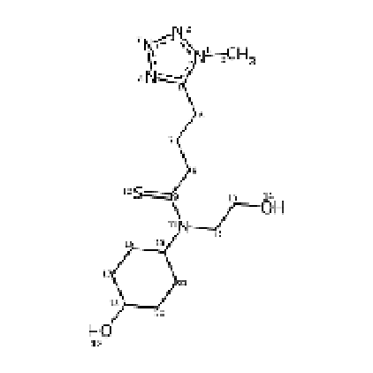 Cn1nnnc1CCCC(=S)N(CCO)C1CCC(O)CC1